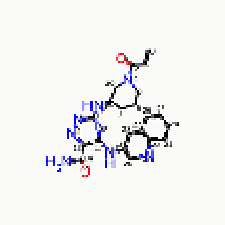 C=CC(=O)N1CCC[C@@H](Nc2nnc(C(N)=O)c(Nc3cnc4ccccc4c3)n2)C1